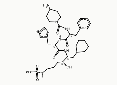 CCCS(=O)(=O)NCCC[C@H](O)[C@H](CC1CCCCC1)NC(=O)[C@H](Cc1c[nH]cn1)NC(=O)[C@H](Cc1ccccc1)NC(=O)N1CCC(N)CC1